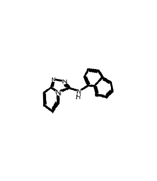 c1ccc2c(Nc3nnc4ccccn34)cccc2c1